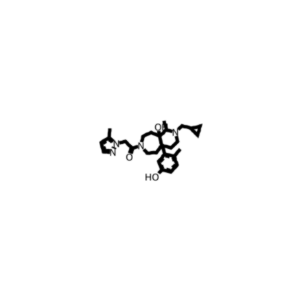 Cc1ccc(O)cc1C12CCN(C(=O)Cn3nccc3C)CCC1(O)C(C)N(CC1CC1)CC2